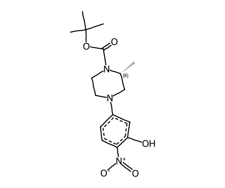 C[C@@H]1CN(c2ccc([N+](=O)[O-])c(O)c2)CCN1C(=O)OC(C)(C)C